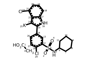 CC(=O)O.O=S(=O)(NC1CCCCC1)c1cc(-c2[nH]c3cccc(Cl)c3[c]2[K])ccc1Cl